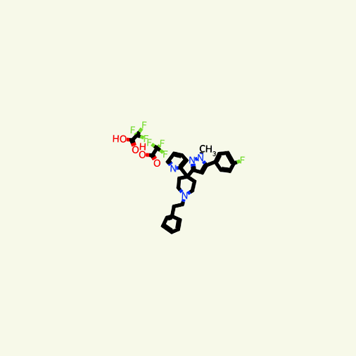 Cn1nc(C2(c3ccccn3)CCN(CCc3ccccc3)CC2)cc1-c1ccc(F)cc1.O=C(O)C(F)(F)F.O=C(O)C(F)(F)F